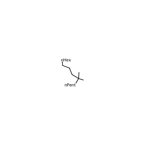 [CH2]CCCCC(C)(C)CCCCCCCCC